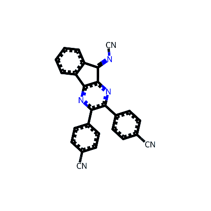 N#C/N=C1\c2ccccc2-c2nc(-c3ccc(C#N)cc3)c(-c3ccc(C#N)cc3)nc21